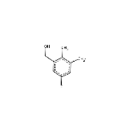 [CH2]c1cc(F)cc(CO)c1C